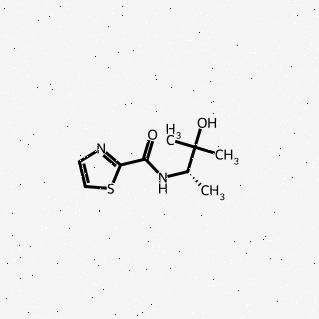 C[C@H](NC(=O)c1nccs1)C(C)(C)O